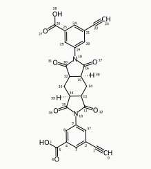 C#Cc1cc(C(=O)O)cc(N2C(=O)C3C[C@@H]4C(=O)N(c5cc(C#C)cc(C(=O)O)c5)C(=O)C4C[C@@H]3C2=O)c1